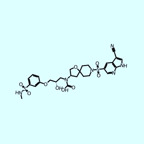 CNS(=O)(=O)c1cccc(OC[C@@H](O)CN(C(=O)O)[C@H]2COC3(CCN(S(=O)(=O)c4cnc5[nH]cc(C#N)c5c4)CC3)C2)c1